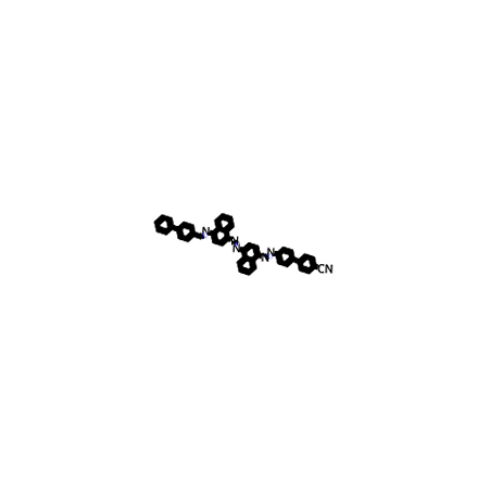 N#Cc1ccc(-c2ccc(/N=N/c3ccc(/N=N/c4ccc(/N=C/c5ccc(-c6ccccc6)cc5)c5ccccc45)c4ccccc34)cc2)cc1